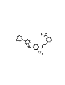 Cc1cccc(CCOc2ccc(Nc3nc(-c4cccnc4)cs3)cc2C(F)(F)F)c1